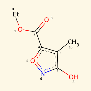 CCOC(=O)c1onc(O)c1C